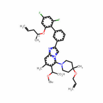 C=CCOC1(C)CCN(c2c(C(OC(C)(C)C)C(=O)O)c(C)cc3nc(-c4cccc(-c5c(F)cc(F)cc5O[C@@H](C)CC=C)c4)cn23)CC1